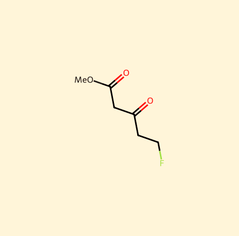 COC(=O)CC(=O)CCF